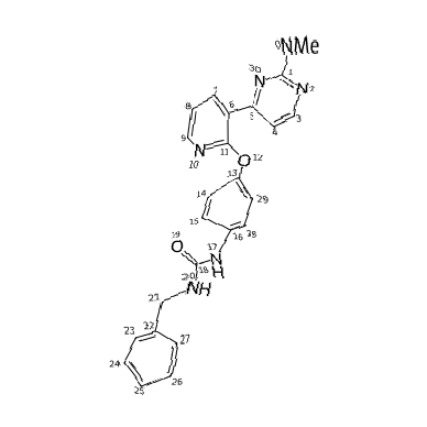 CNc1nccc(-c2cccnc2Oc2ccc(NC(=O)NCc3ccccc3)cc2)n1